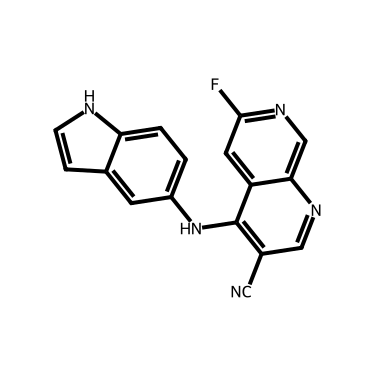 N#Cc1cnc2cnc(F)cc2c1Nc1ccc2[nH]ccc2c1